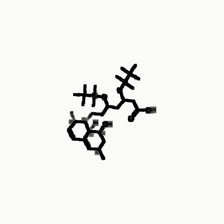 C[C@H]1C=C2C=C[C@H](C)[C@H](CCC(CC(CC(=O)O)O[Si](C)(C)C(C)(C)C)O[Si](C)(C)C(C)(C)C)[C@H]2[C@@H](O)C1